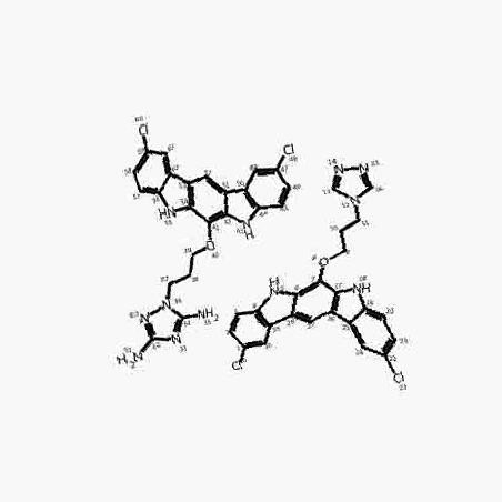 Clc1ccc2[nH]c3c(OCCCn4cnnc4)c4[nH]c5ccc(Cl)cc5c4cc3c2c1.Nc1nc(N)n(CCCOc2c3[nH]c4ccc(Cl)cc4c3cc3c2[nH]c2ccc(Cl)cc23)n1